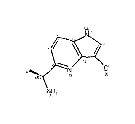 C[C@H](N)c1ccc2[nH]cc(Cl)c2n1